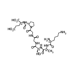 C[C@H](NC(=O)[C@@H](N)CCCCN)C(=O)N[C@@H](CO)C(=O)NCC(=O)NCC(=O)N1CCC[C@H]1C(=O)N[C@@H](CCC(=O)O)C(=O)O